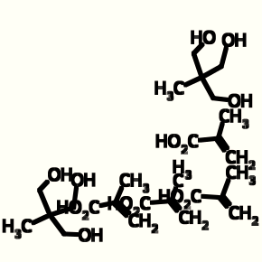 C=C(C)C(=O)O.C=C(C)C(=O)O.C=C(C)C(=O)O.C=C(C)C(=O)O.CC(CO)(CO)CO.CC(CO)(CO)CO